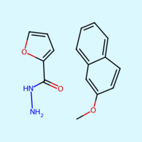 COc1ccc2ccccc2c1.NNC(=O)c1ccco1